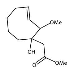 COC(=O)CC1(O)CCCC/C=C/C1OC